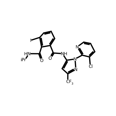 CC(C)NC(=O)c1c(I)cccc1C(=O)Nc1cc(C(F)(F)F)nn1-c1ncccc1Cl